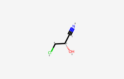 N#C[C@H](O)CCl